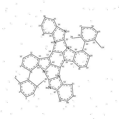 Cc1cccc(C)c1-c1cccc2c3c4c5c(c6cccc(-c7c(C)cccc7C)c6n5c5nc6ccccc6n45)c4c3n(c12)c1nc2ccccc2n41